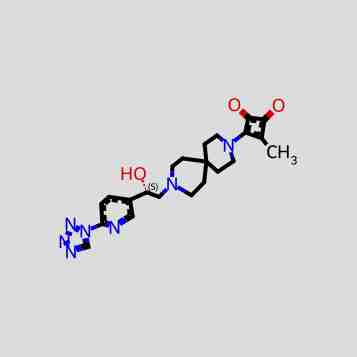 Cc1c(N2CCC3(CCN(C[C@@H](O)c4ccc(-n5cnnn5)nc4)CC3)CC2)c(=O)c1=O